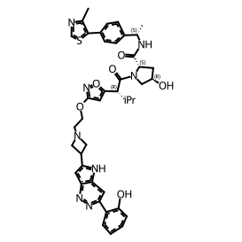 Cc1ncsc1-c1ccc([C@H](C)NC(=O)[C@@H]2C[C@@H](O)CN2C(=O)[C@@H](c2cc(OCCN3CC(c4cc5nnc(-c6ccccc6O)cc5[nH]4)C3)no2)C(C)C)cc1